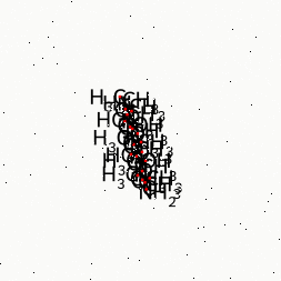 CCC(C)NCC(=O)N(CC(=O)N(CC(=O)N(CC(=O)N(CC(=O)N(CC(=O)N(CC(=O)N(CC(=O)N(CC(=O)N(CC(N)=O)C(C)CC)C(C)CC)C(C)CO)C(C)CO)C(C)CC)C(C)CC)C(C)CO)C(C)CO)C(C)CC